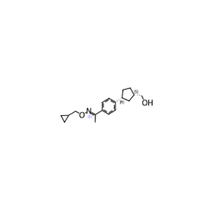 C/C(=N\OCC1CC1)c1ccc([C@@H]2CC[C@H](CO)C2)cc1